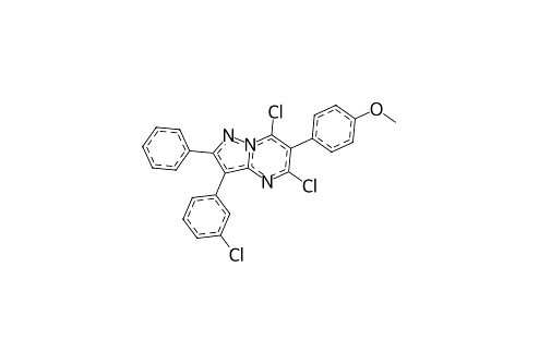 COc1ccc(-c2c(Cl)nc3c(-c4cccc(Cl)c4)c(-c4ccccc4)nn3c2Cl)cc1